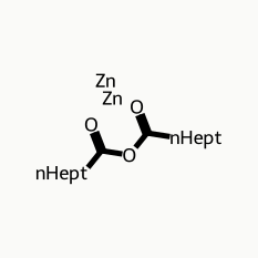 CCCCCCCC(=O)OC(=O)CCCCCCC.[Zn].[Zn]